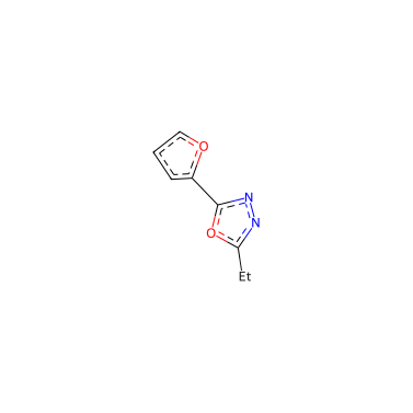 CCc1nnc(-c2ccco2)o1